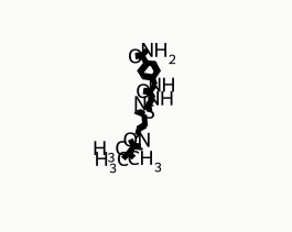 CC(C)(C)c1cnc(/C=C/c2cnc(NC(=O)Nc3ccc(C(N)=O)cc3)s2)o1